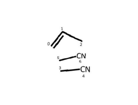 C=CC.CC#N.CC#N